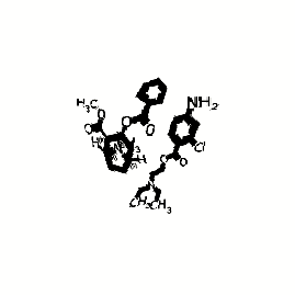 CCN(CC)CCOC(=O)c1ccc(N)cc1Cl.COC(=O)[C@H]1[C@@H](OC(=O)c2ccccc2)C[C@@H]2CC[C@H]1N2C